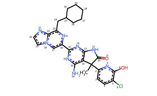 CC1(c2ccc(Cl)c(O)n2)C(=O)Nc2nc(-c3cn4ccnc4c(CC4CCCCC4)n3)nc(N)c21